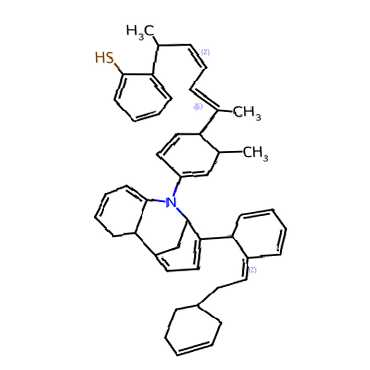 C/C(=C\C=C/C(C)c1ccccc1S)C1C=CC(N2C3=CC=CCC3C3=CC=C(C4C=CC=C/C4=C/CC4CC=CCC4)C2C3)=CC1C